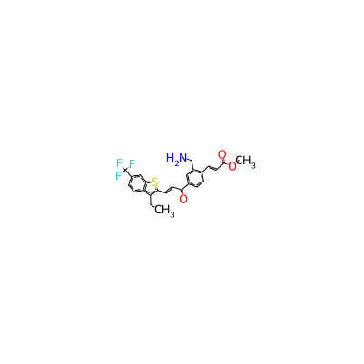 CCc1c(C=CC(=O)c2ccc(C=CC(=O)OC)c(CN)c2)sc2cc(C(F)(F)F)ccc12